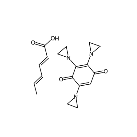 C/C=C/C=C/C(=O)O.O=C1C=C(N2CC2)C(=O)C(N2CC2)=C1N1CC1